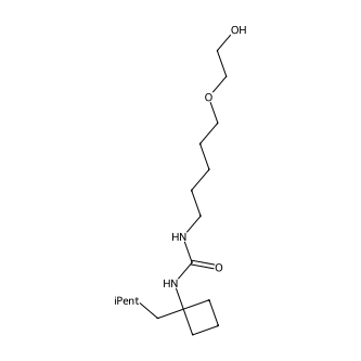 CCCC(C)CC1(NC(=O)NCCCCCOCCO)CCC1